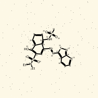 CCN(CC)S(=O)(=O)c1cc(/N=N/c2snc3ncccc23)c2c(NS(C)(=O)=O)cccc2c1O